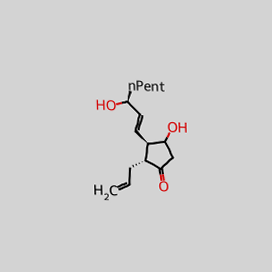 C=CC[C@H]1C(=O)CC(O)[C@@H]1C=C[C@@H](O)CCCCC